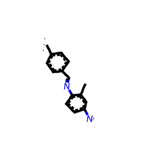 [C]c1ccc(C=Nc2ccc([N])cc2C)cc1